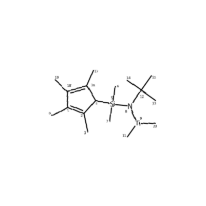 CC1=C(C)C([Si](C)(C)[N]([Ti]([CH3])[CH3])C(C)(C)C)C(C)=C1C